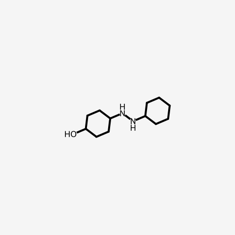 OC1CCC(NNC2CCCCC2)CC1